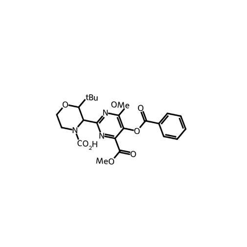 COC(=O)c1nc(C2C(C(C)(C)C)OCCN2C(=O)O)nc(OC)c1OC(=O)c1ccccc1